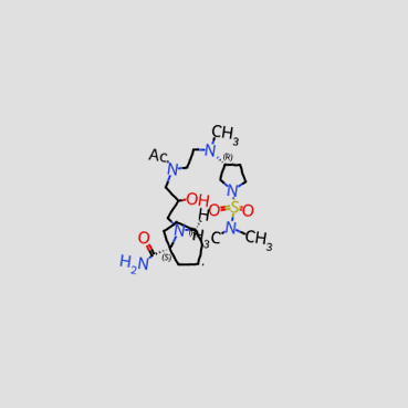 CC(=O)N(CCN(C)[C@@H]1CCN(S(=O)(=O)N(C)C)C1)CC(O)CN1[C@@H]2C[CH]C[C@@]1(C(N)=O)CC2